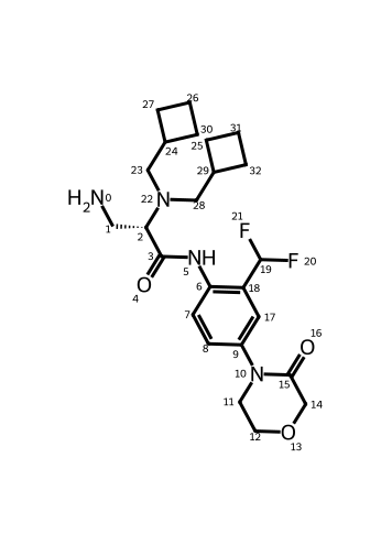 NC[C@@H](C(=O)Nc1ccc(N2CCOCC2=O)cc1C(F)F)N(CC1CCC1)CC1CCC1